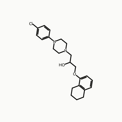 OC(COc1cccc2c1CCCC2)CN1CCN(c2ccc(Cl)cc2)CC1